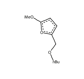 CCCCOCc1ccc(OC)o1